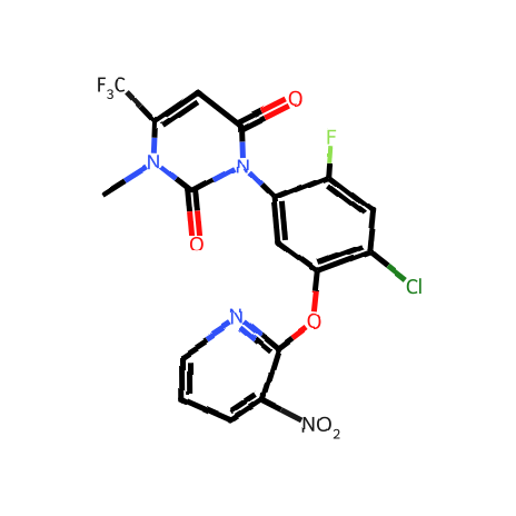 Cn1c(C(F)(F)F)cc(=O)n(-c2cc(Oc3ncccc3[N+](=O)[O-])c(Cl)cc2F)c1=O